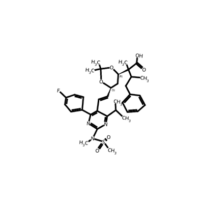 CC(C)c1nc(N(C)S(C)(=O)=O)nc(-c2ccc(F)cc2)c1C=C[C@@H]1C[C@H](C(C)(C(=O)O)C(C)Cc2ccccc2)OC(C)(C)O1